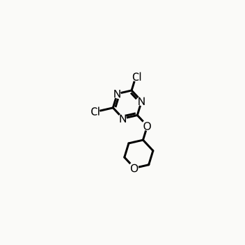 Clc1nc(Cl)nc(OC2CCOCC2)n1